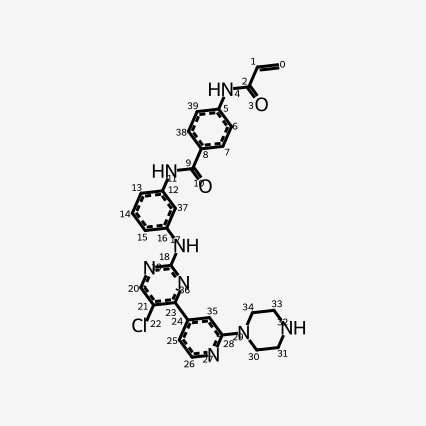 C=CC(=O)Nc1ccc(C(=O)Nc2cccc(Nc3ncc(Cl)c(-c4ccnc(N5CCNCC5)c4)n3)c2)cc1